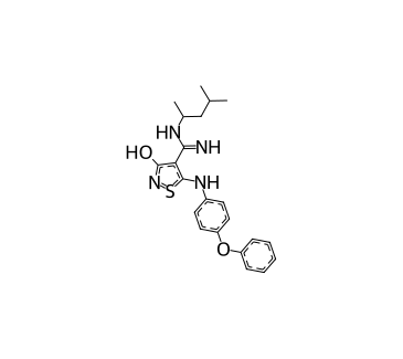 CC(C)CC(C)NC(=N)c1c(O)nsc1Nc1ccc(Oc2ccccc2)cc1